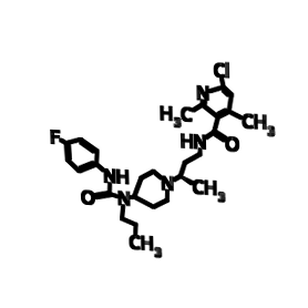 CCCN(C(=O)Nc1ccc(F)cc1)C1CCN([C@H](C)CCNC(=O)c2c(C)cc(Cl)nc2C)CC1